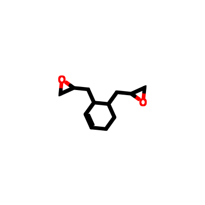 C1=CC(CC2CO2)C(CC2CO2)CC1